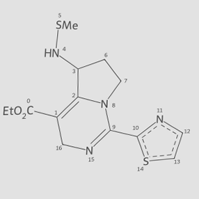 CCOC(=O)C1=C2C(NSC)CCN2C(c2nccs2)=NC1